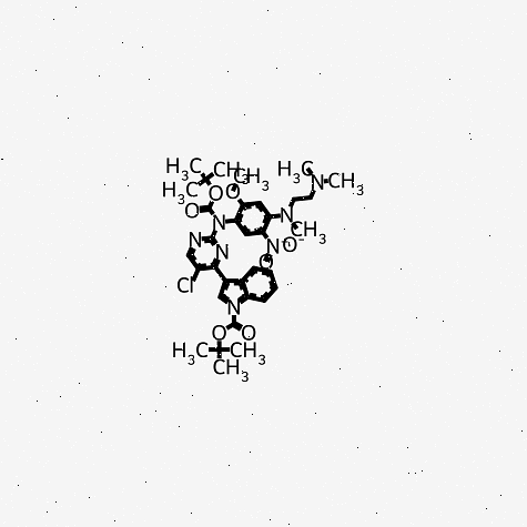 COc1cc(N(C)CCN(C)C)c([N+](=O)[O-])cc1N(C(=O)OC(C)(C)C)c1ncc(Cl)c(-c2cn(C(=O)OC(C)(C)C)c3ccccc23)n1